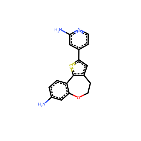 Nc1ccc2c(c1)OCCc1cc(-c3ccnc(N)c3)sc1-2